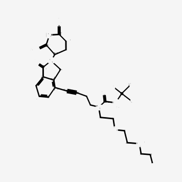 CCCOCCOCCN(CCC#Cc1cccc2c1CN(C1CCC(=O)NC1=O)C2=O)C(=O)OC(C)(C)C